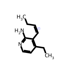 CC/C=C\c1c(CC)ccnc1N